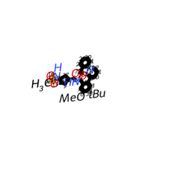 COc1cc(CNC(=O)[C@H]2CC[C@H](NS(C)(=O)=O)C2)c(-c2cccnc2OCc2ccccc2)cc1C(C)(C)C